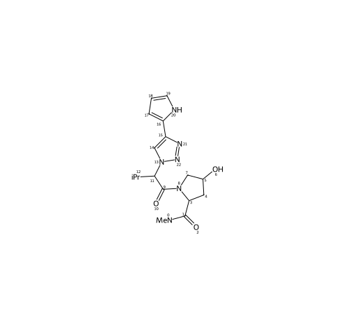 CNC(=O)C1CC(O)CN1C(=O)C(C(C)C)n1cc(-c2ccc[nH]2)nn1